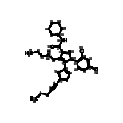 CCCC#Cc1ccc(-c2c(CNCCC)c(C(=O)NN3CCCCC3)nn2-c2ccc(Cl)cc2Cl)s1